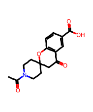 CC(=O)N1CCC2(CC1)CC(=O)c1cc(C(=O)O)ccc1O2